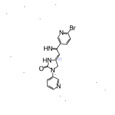 N=C(/C=C1/CN(c2cccnc2)C(=O)N1)c1ccc(Br)nc1